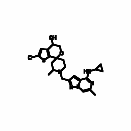 Cc1cn2nc(CN3CCC4(CC3C)OCC(O)c3cc(Cl)sc34)cc2c(NC2CC2)n1